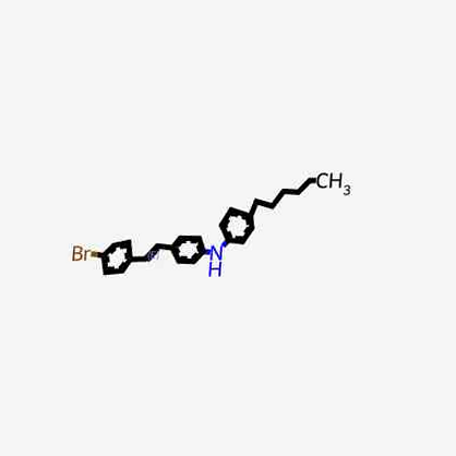 CCCCCCc1ccc(Nc2ccc(/C=C/c3ccc(Br)cc3)cc2)cc1